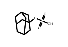 O=S(=O)(O)OC12CC3CC(CC(C3)C1)C2